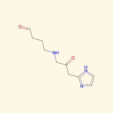 O=CCCCNCC(=O)Cc1ncc[nH]1